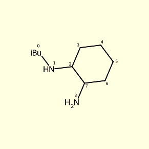 CCC(C)NC1CCCCC1N